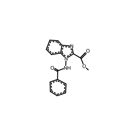 COC(=O)c1nc2ccccc2n1NC(=O)c1ccccc1